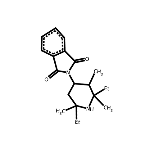 CCC1(C)CC(N2C(=O)c3ccccc3C2=O)C(C)C(C)(CC)N1